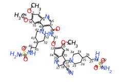 COc1cc2ncc(C(=O)NCOc3cc4ncc(C#N)c(N5CCC(CCNS(N)(=O)=O)CC5)c4cc3OC)c(N3CCC(CCNS(N)(=O)=O)CC3)c2cc1OC